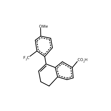 COc1ccc(C2=CCCc3ccc(C(=O)O)cc32)c(C(F)(F)F)c1